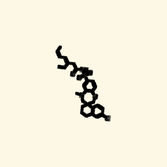 C=C/C(=C\C=C/C)CC(=O)NS(=O)(=O)c1ccc2c(c1)N(C)C[C@@]1(CCCc3cc(Cl)ccc31)CO2